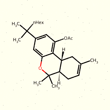 CCCCCCC(C)(C)c1cc(OC(C)=O)c2c(c1)OC(C)(C)[C@@H]1CC=C(C)C[C@@H]21